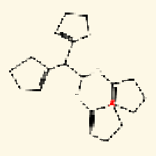 C1=C(O[C](OC2=CCCC2)C(C2=CCCC2)C2=CCCC2)CCC1